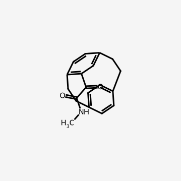 CNC(=O)C(=O)c1cc2ccc1CCc1ccc(cc1)CC2